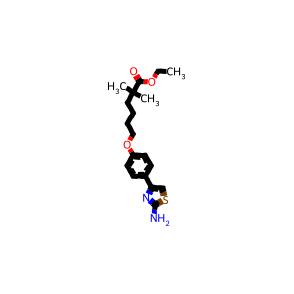 CCOC(=O)C(C)(C)CCCCOc1ccc(-c2csc(N)n2)cc1